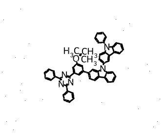 CC(C)(C)Oc1cc(-c2ccc3c4ccccc4n(-c4ccc5c(c4)c4ccccc4n5-c4ccccc4)c3c2)cc(-c2nc(-c3ccccc3)nc(-c3ccccc3)n2)c1